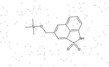 C[Si](C)(C)OCc1cc2c3c(cccc3c1)NS2(=O)=O